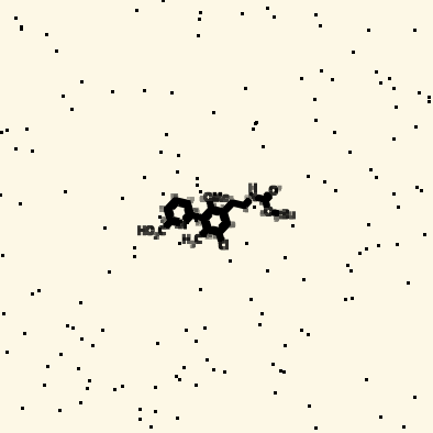 COc1c(CCNC(=O)OC(C)(C)C)cc(Cl)c(C)c1-c1cccc(C(=O)O)n1